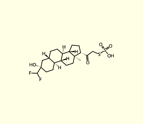 C[C@]12CC[C@H]3[C@@H](CC[C@H]4C[C@](O)(C(F)F)CC[C@@H]43)[C@@H]1CC[C@@H]2C(=O)CSS(=O)(=O)O